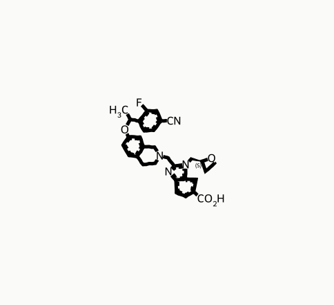 CC(Oc1ccc2c(c1)CN(Cc1nc3ccc(C(=O)O)cc3n1C[C@@H]1CCO1)CC2)c1ccc(C#N)cc1F